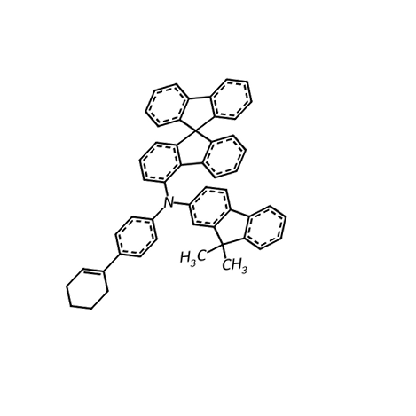 CC1(C)c2ccccc2-c2ccc(N(c3ccc(C4=CCCCC4)cc3)c3cccc4c3-c3ccccc3C43c4ccccc4-c4ccccc43)cc21